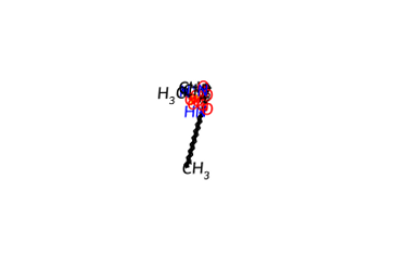 CCCCCCCCCCCCCCCCCNC(=O)OC[C@@H](COP(=O)([O-])OCC[N+](C)(C)C)Oc1ccon1